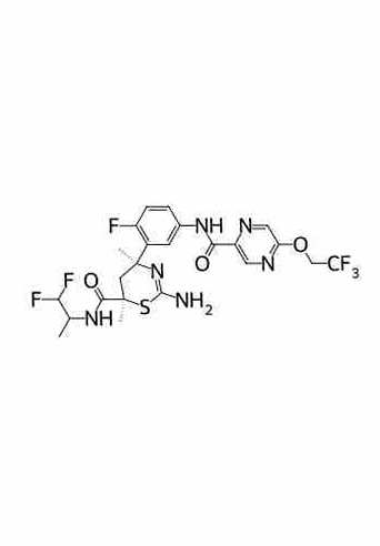 CC(NC(=O)[C@@]1(C)C[C@@](C)(c2cc(NC(=O)c3cnc(OCC(F)(F)F)cn3)ccc2F)N=C(N)S1)C(F)F